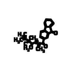 CN(OC(=O)C(C)(C)N(C)C)C(=O)c1ccc2c(c1)C(=O)c1ccccc1-2